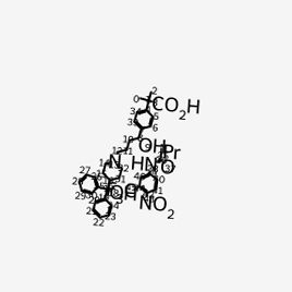 CC(C)(C(=O)O)c1ccc(C(O)CCCN2CCC(C(O)(c3ccccc3)c3ccccc3)CC2)cc1.CC(C)C(=O)Nc1ccc([N+](=O)[O-])c(C(F)(F)F)c1